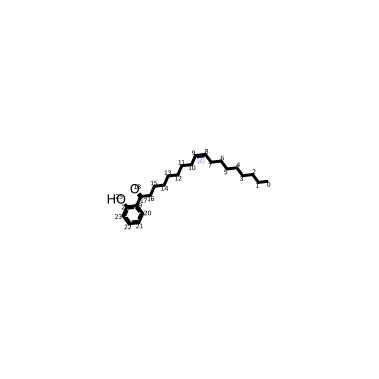 CCCCCCCC/C=C\CCCCCCCC(=O)c1ccccc1O